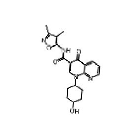 Cc1noc(NC(=O)c2cn(C3CCC(O)CC3)c3ncccc3c2=O)c1C